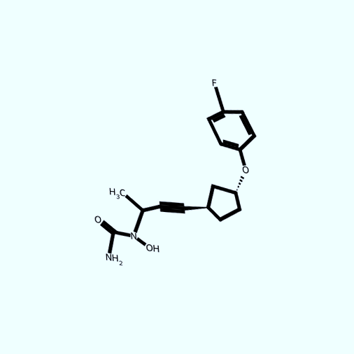 CC(C#C[C@@H]1CC[C@@H](Oc2ccc(F)cc2)C1)N(O)C(N)=O